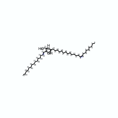 CCCCCCCC/C=C\CCCCCCCCCCCCCC(=O)N[C@@H](CO)[C@H](O)/C=C/CCCCCCCCCCCCC